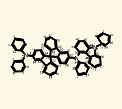 c1ccc(N(c2ccccc2)c2ccc3c(c2)-c2ccccc2C32c3ccccc3-c3cc(N(c4ccccc4)c4cccc5c4c4ccccc4n5-c4ccccc4)ccc32)cc1